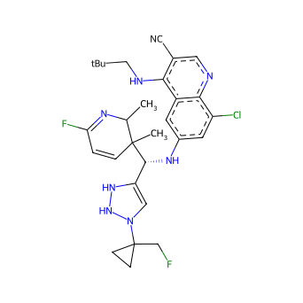 CC1N=C(F)C=CC1(C)[C@H](Nc1cc(Cl)c2ncc(C#N)c(NCC(C)(C)C)c2c1)C1=CN(C2(CF)CC2)NN1